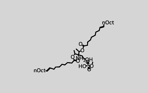 CCCCCCCCC=CCCCCCCCC(=O)OC(C)C(N)(CCO)C(C)OC(=O)CCCCCCCC=CCCCCCCCC.COS(=O)(=O)O